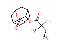 CCC(C)(C)C(=O)OC1C2CC3CC1CC(C2)C(=O)O3